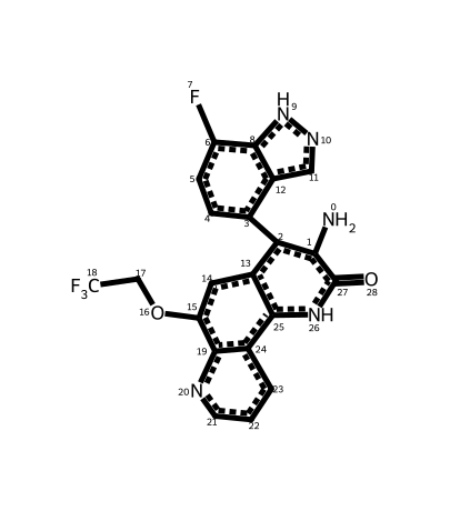 Nc1c(-c2ccc(F)c3[nH]ncc23)c2cc(OCC(F)(F)F)c3ncccc3c2[nH]c1=O